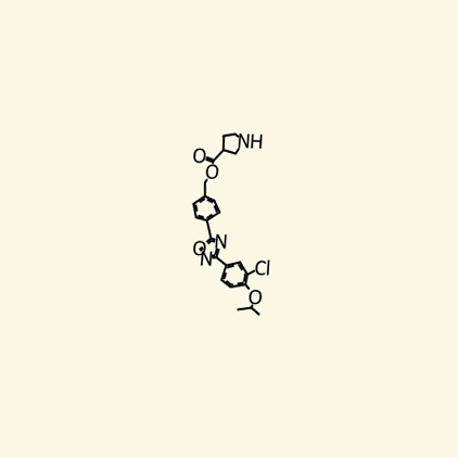 CC(C)Oc1ccc(-c2noc(-c3ccc(COC(=O)C4CCNC4)cc3)n2)cc1Cl